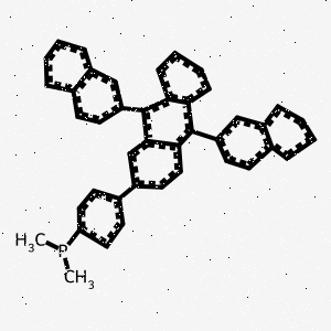 CP(C)c1ccc(-c2ccc3c(-c4ccc5ccccc5c4)c4ccccc4c(-c4ccc5ccccc5c4)c3c2)cc1